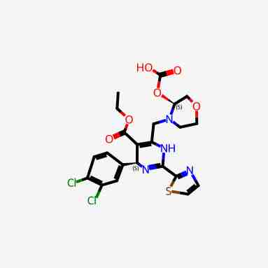 CCOC(=O)C1=C(CN2CCOC[C@@H]2OC(=O)O)NC(c2nccs2)=N[C@H]1c1ccc(Cl)c(Cl)c1